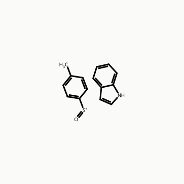 Cc1ccc([S+]=O)cc1.c1ccc2[nH]ccc2c1